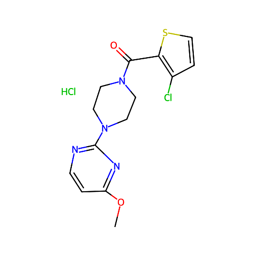 COc1ccnc(N2CCN(C(=O)c3sccc3Cl)CC2)n1.Cl